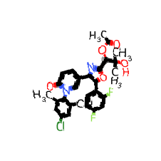 CC(=O)O[C@H](c1nc(-c2ccc(=O)n(-c3c(C)cc(Cl)cc3C)c2)c(-c2ccc(F)cc2F)o1)C(C)(C)O